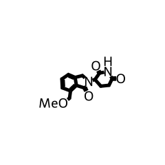 COCc1cccc2c1C(=O)N(C1CCC(=O)NC1=O)C2